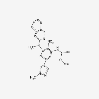 CN(c1ccc2ncccc2c1)c1nc(-c2cnn(C)c2)cc(NC(=O)OC(C)(C)C)c1[N+](=O)[O-]